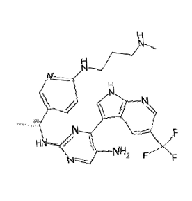 CNCCCNc1ccc([C@@H](C)Nc2ncc(N)c(-c3c[nH]c4ncc(C(F)(F)F)cc34)n2)cn1